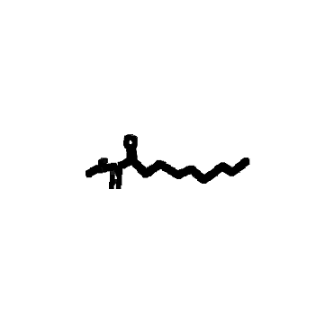 CCCCCCCCC(=O)NSC